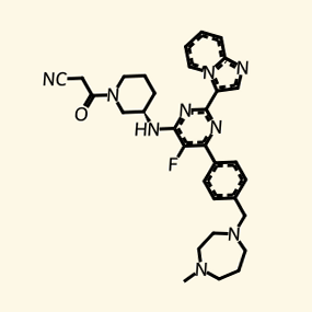 CN1CCCN(Cc2ccc(-c3nc(-c4cnc5ccccn45)nc(N[C@@H]4CCCN(C(=O)CC#N)C4)c3F)cc2)CC1